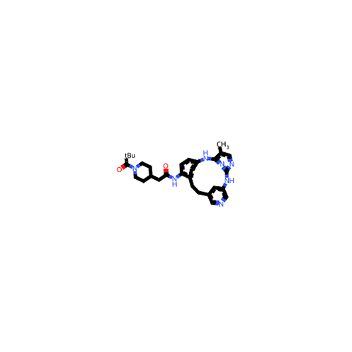 Cc1cnc2nc1Nc1ccc(NC(=O)CC3CCN(C(=O)C(C)(C)C)CC3)c(c1)CCc1cncc(c1)N2